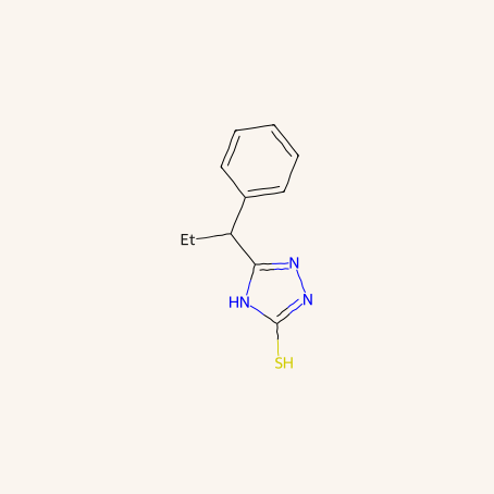 CCC(c1ccccc1)c1nnc(S)[nH]1